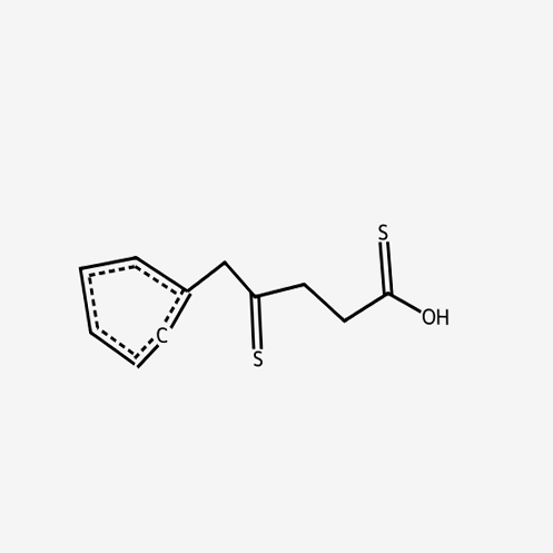 OC(=S)CCC(=S)Cc1ccccc1